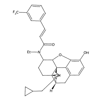 CCN(C(=O)/C=C/c1cccc(C(F)(F)F)c1)C1CC[C@@]2(O)[C@H]3Cc4ccc(O)c5c4[C@@]2(CCN3CC2CC2)C1O5